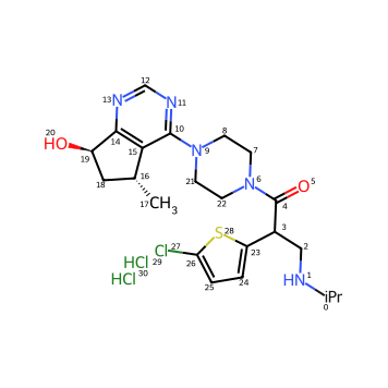 CC(C)NCC(C(=O)N1CCN(c2ncnc3c2[C@H](C)C[C@H]3O)CC1)c1ccc(Cl)s1.Cl.Cl